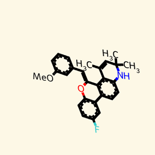 COc1cccc(/C=C2\Oc3ccc(F)cc3-c3ccc4c(c32)C(C)=CC(C)(C)N4)c1